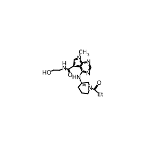 CCC(=O)N1CCC[C@@H](Nc2ncnc3c2c(C(=O)NCCO)cn3C)C1